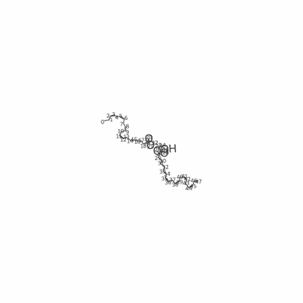 CC/C=C\C/C=C\C/C=C\C/C=C\CCCCCCC(=O)OC[C@H](CO)OC(=O)CCCCCC/C=C\C/C=C\C/C=C\C/C=C\CC